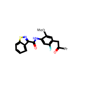 COc1cc(CC(=O)C(C)C)c(F)cc1NC(=O)c1nsc2ccccc12